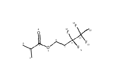 CC(C)C(=O)OCCC(F)(F)C(C)(F)F